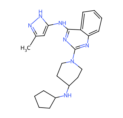 Cc1cc(Nc2nc(N3CCC(NC4CCCC4)CC3)nc3ccccc23)[nH]n1